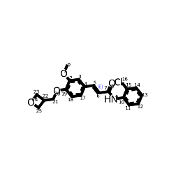 COc1cc(/C=C/C(=O)Nc2ccccc2Cl)ccc1OCC1COC1